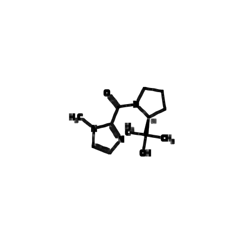 Cn1ccnc1C(=O)N1CCC[C@H]1C(C)(C)O